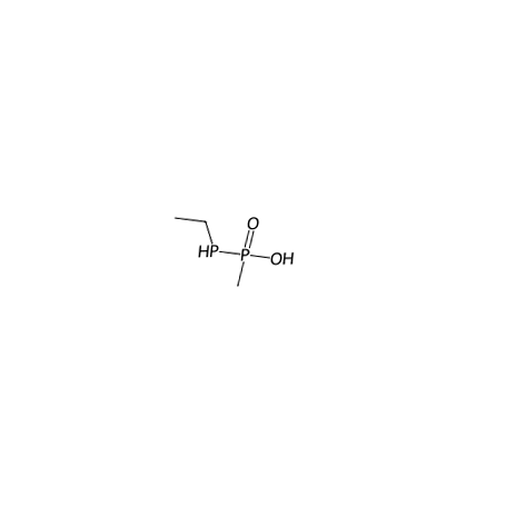 CCPP(C)(=O)O